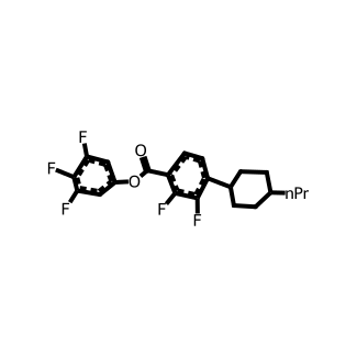 CCCC1CCC(c2ccc(C(=O)Oc3cc(F)c(F)c(F)c3)c(F)c2F)CC1